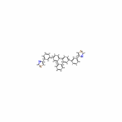 c1cc(-c2ccc3c4ccc(-c5cccc(-c6cscn6)c5)cc4c4ccccc4c3c2)cc(-c2cscn2)c1